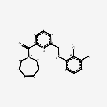 Cc1cccc(SCc2cccc(C(=O)N3CCCCCC3)n2)c1Cl